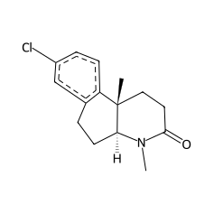 CN1C(=O)CC[C@@]2(C)c3ccc(Cl)cc3CC[C@H]12